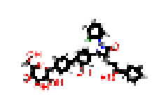 O=C1[C@H](CC[C@H](O)c2ccccc2)[C@@H](c2ccc(-c3ccc([C@@H]4O[C@H](CO)[C@@H](O)[C@H](O)[C@H]4O)cc3)c(O)c2)N1c1ccccc1F